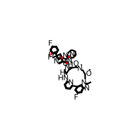 CO[C@H]1CN(C)C(=O)[C@@H]2C[C@@H](CN2c2nc(N3C4CC3CN(C(=O)C3CC5(COC5)C3)C4)nc3c2cnn3-c2ccc(F)cc2F)Nc2cccc(n2)-c2cc(F)cc3nc(C)n(c23)C1